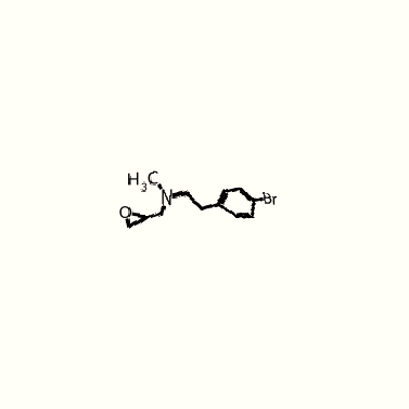 CN(CCc1ccc(Br)cc1)C[C@H]1CO1